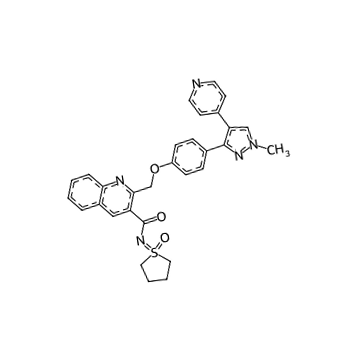 Cn1cc(-c2ccncc2)c(-c2ccc(OCc3nc4ccccc4cc3C(=O)N=S3(=O)CCCC3)cc2)n1